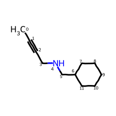 CC#CCNCC1CCCCC1